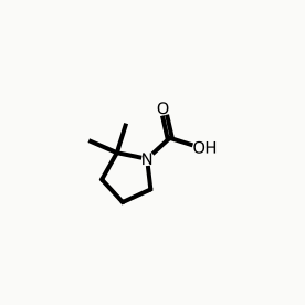 CC1(C)CCCN1C(=O)O